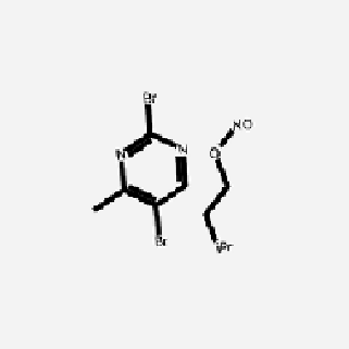 CC(C)CCON=O.Cc1nc(Br)ncc1Br